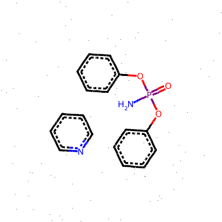 NP(=O)(Oc1ccccc1)Oc1ccccc1.c1ccncc1